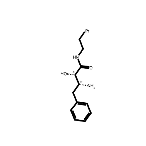 CC(C)CCNC(=O)[C@@H](O)[C@H](N)Cc1ccccc1